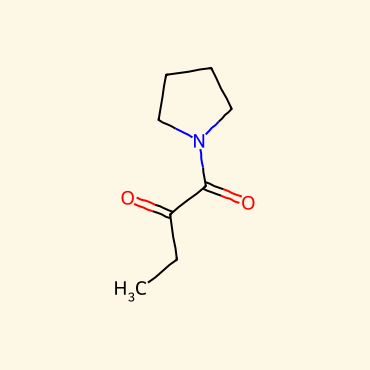 CCC(=O)C(=O)N1CCCC1